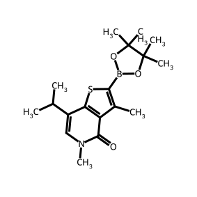 Cc1c(B2OC(C)(C)C(C)(C)O2)sc2c(C(C)C)cn(C)c(=O)c12